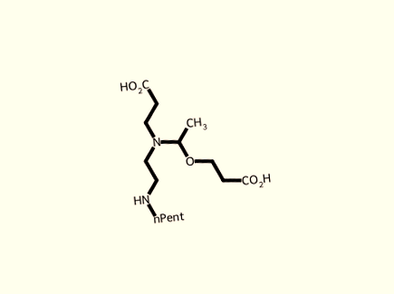 CCCCCNCCN(CCC(=O)O)C(C)OCCC(=O)O